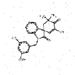 COc1cc(C)cc(CN2C(=O)C3(C=C(C#N)C(=O)C(C)(C)C3)c3ccccc32)c1